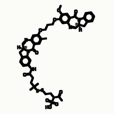 COc1cc2c(cc1OCCCOc1cc3c(cc1C)C(=O)N1c4cc(NC(=O)CCC(C)(C)SSCCC(C(C)=O)S(=O)(=O)O)ccc4C[C@H]1C=N3)N=C[C@@H]1Cc3ccccc3N1C2=O